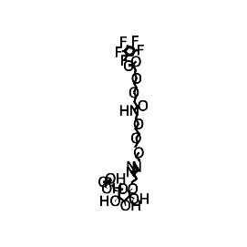 O=C(CCOCCOCCC(=O)Oc1c(F)c(F)c(F)c(F)c1F)NCCOCCOCCOCCn1cc(CCO[C@H]2O[C@H](CCP(=O)(O)O)[C@@H](O)[C@H](O)[C@@H]2O)nn1